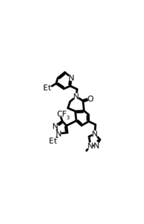 CCc1ccnc(CN2CCc3c(cc(CN4C=NN(C)C4)cc3-c3cn(CC)nc3C(F)(F)F)C2=O)c1